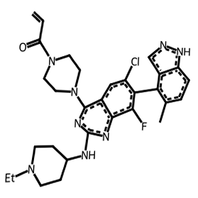 C=CC(=O)N1CCN(c2nc(NC3CCN(CC)CC3)nc3c(F)c(-c4c(C)ccc5[nH]ncc45)c(Cl)cc23)CC1